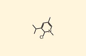 CC1=CN(C)C(Cl)C(C(C)C)=C1